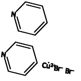 [Br-].[Br-].[Cu+2].c1ccncc1.c1ccncc1